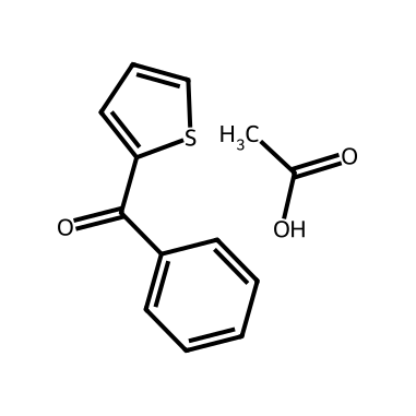 CC(=O)O.O=C(c1ccccc1)c1cccs1